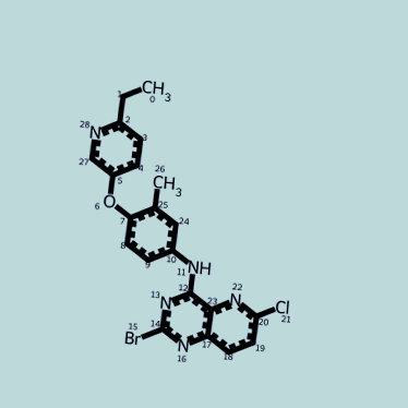 CCc1ccc(Oc2ccc(Nc3nc(Br)nc4ccc(Cl)nc34)cc2C)cn1